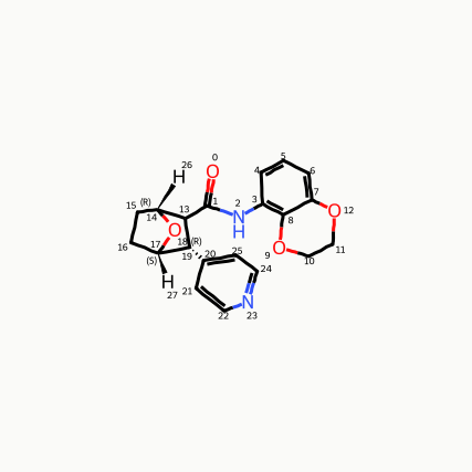 O=C(Nc1cccc2c1OCCO2)C1[C@H]2CC[C@H](O2)[C@H]1c1ccncc1